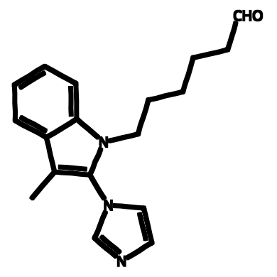 Cc1c(-n2ccnc2)n(CCCCCC=O)c2ccccc12